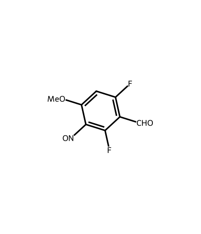 COc1cc(F)c(C=O)c(F)c1N=O